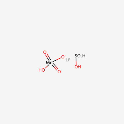 O=S(=O)(O)O.[Li+].[O]=[Mn](=[O])([O-])[OH]